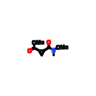 COC(=O)C1CC1C(=O)N(C)OC